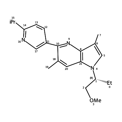 CC[C@H](COC)n1cc(C)c2nc(-c3ccc(C(C)C)nc3)c(C)cc21